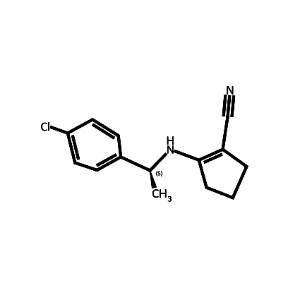 C[C@H](NC1=C(C#N)CCC1)c1ccc(Cl)cc1